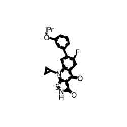 CC(C)Oc1cccc(-c2cc3c(cc2F)c(=O)c2c(=O)[nH]sc2n3C2CC2)c1